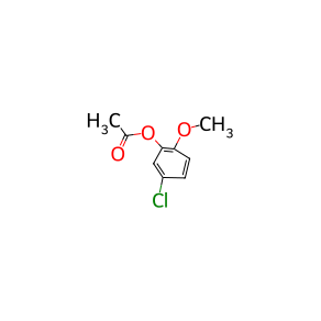 COc1ccc(Cl)cc1OC(C)=O